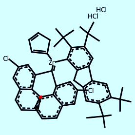 CC(C)(C)c1cc2c(cc1C(C)(C)C)-c1cc(C(C)(C)C)c(C(C)(C)C)[c]([Zr]([C]3=CC=CC3)=[C](c3cc(Cl)cc4ccccc34)c3cc(Cl)cc4ccccc34)c1C2.Cl.Cl